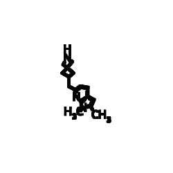 Cc1cc2ccc(CC3CC4(CNC4)C3)nc2n1C